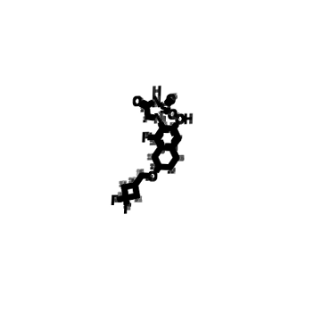 O=C1CN(c2c(O)cc3c(c2F)CC(OCC2CC(F)(F)C2)CC3)S(=O)(=O)N1